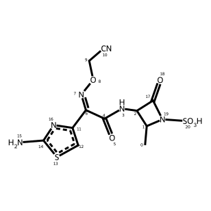 CC1C(NC(=O)/C(=N\OCC#N)c2csc(N)n2)C(=O)N1S(=O)(=O)O